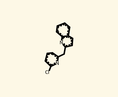 Clc1cccc(Cc2ccc3ccccc3n2)n1